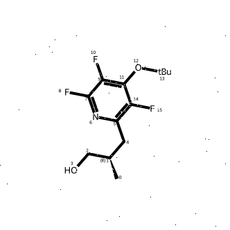 C[C@@H](CO)Cc1nc(F)c(F)c(OC(C)(C)C)c1F